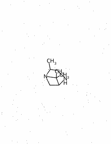 C[C]1CNC2CN1C2(C)C